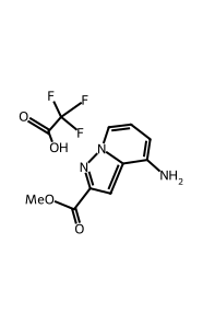 COC(=O)c1cc2c(N)cccn2n1.O=C(O)C(F)(F)F